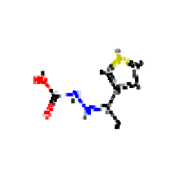 C/C(=N/NC(=O)O)c1ccsc1